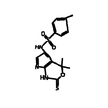 Cc1ccc(S(=O)(=O)Nc2cnc3c(c2)C(C)(C)OC(=S)N3)cc1